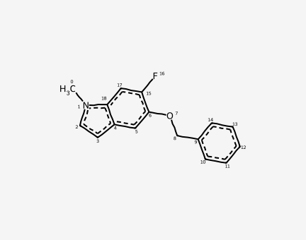 Cn1ccc2cc(OCc3ccccc3)c(F)cc21